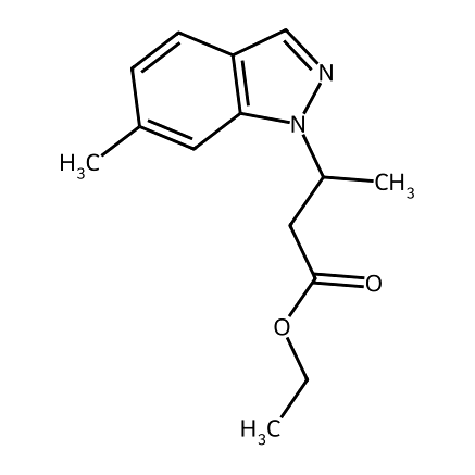 CCOC(=O)CC(C)n1ncc2ccc(C)cc21